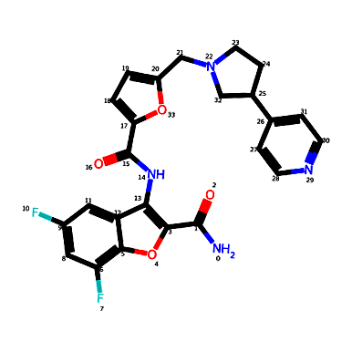 NC(=O)c1oc2c(F)cc(F)cc2c1NC(=O)c1ccc(CN2CCC(c3ccncc3)C2)o1